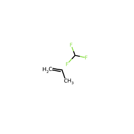 C=CC.FC(F)F